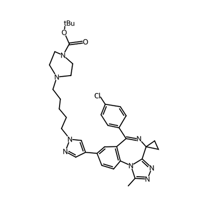 Cc1nnc2n1-c1ccc(-c3cnn(CCCCCN4CCN(C(=O)OC(C)(C)C)CC4)c3)cc1C(c1ccc(Cl)cc1)=NC21CC1